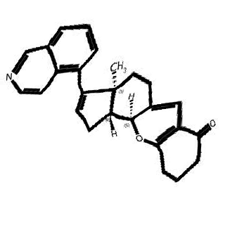 C[C@]12CCC3=CC4=C(CCCC4=O)O[C@H]3[C@@H]1CC=C2c1cccc2cnccc12